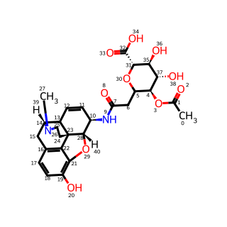 CC(=O)O[C@H]1C(CC(=O)N[C@@H]2C=CC3[C@H]4Cc5ccc(O)c6c5[C@@]3(CCN4C)[C@H]2O6)O[C@H](C(=O)O)[C@@H](O)[C@@H]1O